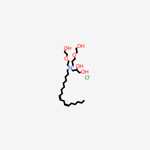 CCCCC/C=C\C/C=C\CCCCCCCC[N+](CCCOCCO)(CCOCCO)CC(O)CO.[Cl-]